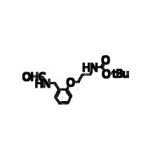 CC(C)(C)OC(=O)NCCCOc1ccccc1CNC=O